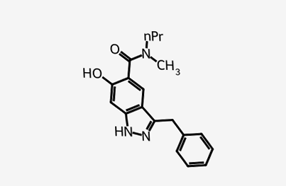 CCCN(C)C(=O)c1cc2c(Cc3ccccc3)n[nH]c2cc1O